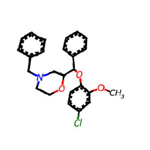 COc1cc(Cl)ccc1OC(c1ccccc1)C1CN(Cc2ccccc2)CCO1